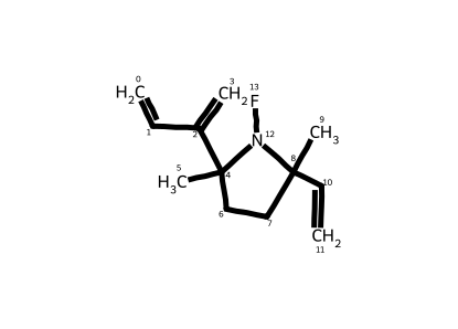 C=CC(=C)C1(C)CCC(C)(C=C)N1F